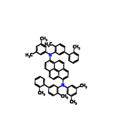 Cc1cc(C)cc(N(c2cc(-c3ccccc3C)ccc2C)c2ccc3ccc4c(N(c5cc(C)cc(C)c5)c5cc(-c6ccccc6C)ccc5C)ccc5ccc2c3c54)c1